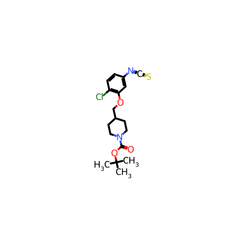 CC(C)(C)OC(=O)N1CCC(COc2cc(N=C=S)ccc2Cl)CC1